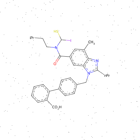 CCCc1nc2c(C)cc(C(=O)N(CCC(C)C)C(S)I)cc2n1Cc1ccc(-c2ccccc2C(=O)O)cc1